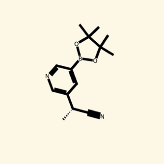 C[C@@H](C#N)c1cncc(B2OC(C)(C)C(C)(C)O2)c1